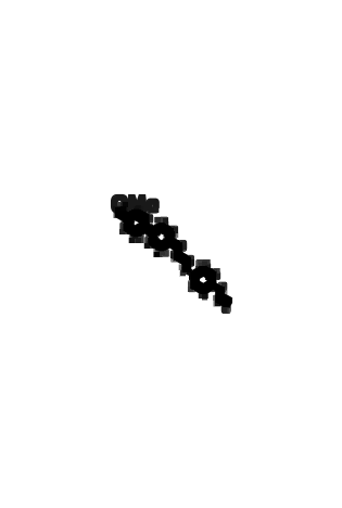 C=CC[C@H]1CC[C@H](CCCCC2CCC(c3ccc(COC)cc3)CC2)CC1